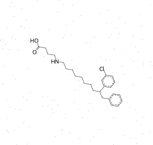 O=C(O)CCCNCCCCCCCCC(Cc1ccccc1)c1cccc(Cl)c1